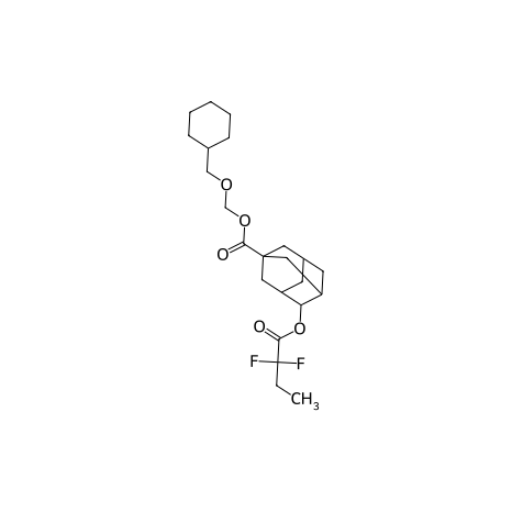 CCC(F)(F)C(=O)OC1C2CC3CC1CC(C(=O)OCOCC1CCCCC1)(C3)C2